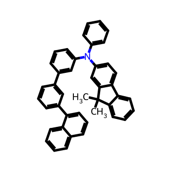 CC1(C)c2ccccc2-c2ccc(N(c3ccccc3)c3cccc(-c4cccc(-c5cccc6ccccc56)c4)c3)cc21